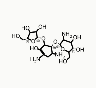 NC1=C(O)C(O[C@@H]2O[C@H](CO)C(O)C2O)[C@H](O[C@H]2OC(CO)[C@@H](O)C(O)C2N)C(N)C1